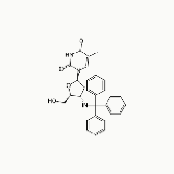 Cc1cn([C@H]2C[C@H](NC(c3ccccc3)(c3ccccc3)c3ccccc3)[C@@H](CO)O2)c(=O)[nH]c1=O